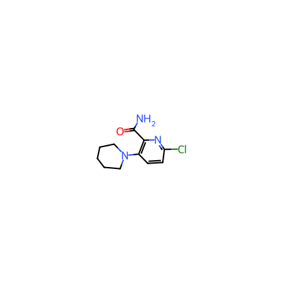 NC(=O)c1nc(Cl)ccc1N1CCCCC1